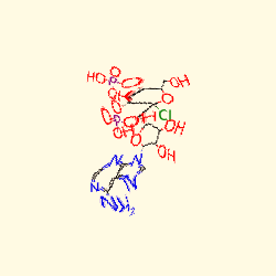 Nc1ncnc2c1ncn2[C@@H]1O[C@H](CC2(Cl)O[C@H](CO)[C@@H](OP(=O)(O)O)[C@H]2OP(=O)(O)O)[C@@H](O)[C@H]1O